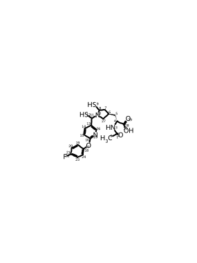 CC(=O)N[C@H](C[C@@H]1CC(S)N(C(S)c2ccc(Oc3ccc(F)cc3)nc2)C1)C(=O)O